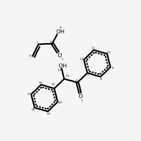 C=CC(=O)O.O=C(c1ccccc1)C(O)c1ccccc1